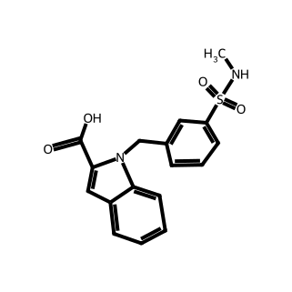 CNS(=O)(=O)c1cccc(Cn2c(C(=O)O)cc3ccccc32)c1